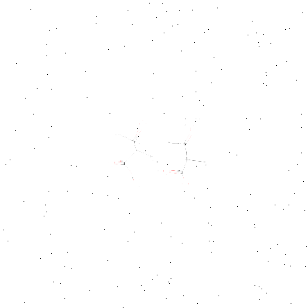 CC(=O)C(C)C(=O)[O-].CC(=O)C(C)C(=O)[O-].[Ca+2]